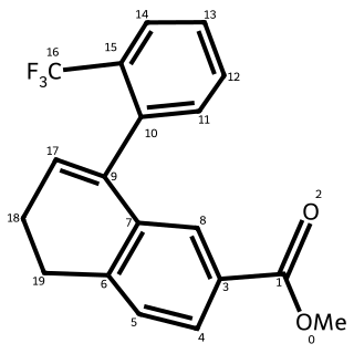 COC(=O)c1ccc2c(c1)C(c1ccccc1C(F)(F)F)=CCC2